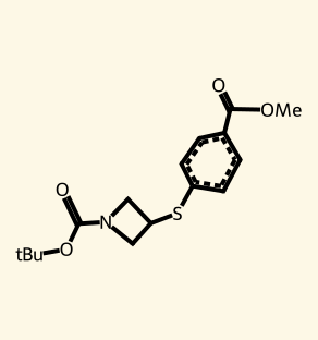 COC(=O)c1ccc(SC2CN(C(=O)OC(C)(C)C)C2)cc1